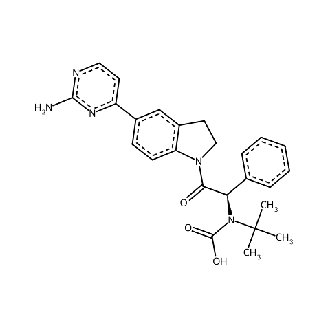 CC(C)(C)N(C(=O)O)[C@@H](C(=O)N1CCc2cc(-c3ccnc(N)n3)ccc21)c1ccccc1